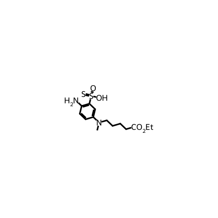 CCOC(=O)CCCCN(C)c1ccc(N)c(S(=O)(O)=S)c1